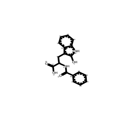 O=C(NC(Cc1c(O)[nH]c2ccccc12)C(=O)O)c1ccccc1